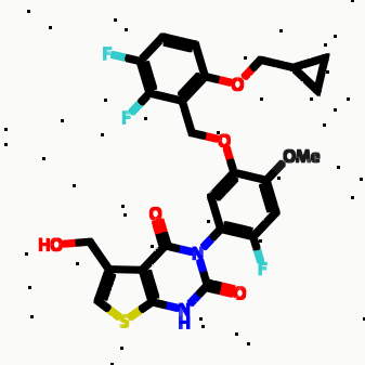 COc1cc(F)c(-n2c(=O)[nH]c3scc(CO)c3c2=O)cc1OCc1c(OCC2CC2)ccc(F)c1F